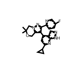 CC1(C)Cn2nc(-c3ccc(F)cn3)c(-c3cc(C4CC4)nc4[nH]ncc34)c2CO1